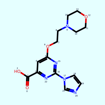 O=C(O)c1cc(OCCN2CCOCC2)nc(-n2ccnc2)n1